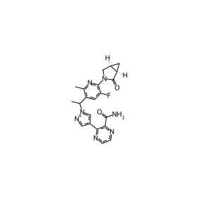 Cc1nc(N2C[C@H]3C[C@H]3C2=O)c(F)cc1C(C)n1cc(-c2nccnc2C(N)=O)cn1